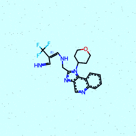 N=C/C(=C\NCc1nc2cnc3ccccc3c2n1C1CCOCC1)C(F)(F)F